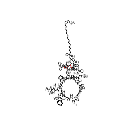 CCCC[C@H](NC(=O)[C@H](CO)NC(=O)[C@H](Cc1c[nH]cn1)NC(=O)[C@H](CCC(N)=O)NC(=O)[C@H](CO)NC(=O)CNC(=O)CCCCCCCCCCCCCCC(=O)O)C(=O)N[C@H]1CCC(=O)NCCCC[C@@H](C(N)=O)NC(=O)[C@H](Cc2c[nH]c3ccccc23)NC(=O)[C@H](CCCNC(=N)N)NC(=O)[C@@H](Cc2ccccc2)NC(=O)[C@@H]2C[C@@H](O)CN2C1=O